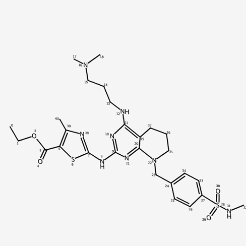 CCOC(=O)c1sc(Nc2nc(NCCCN(C)C)c3c(n2)N(Cc2ccc(S(=O)(=O)NC)cc2)CCC3)nc1C